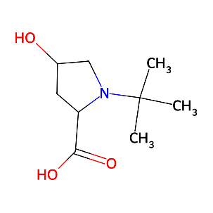 CC(C)(C)N1CC(O)CC1C(=O)O